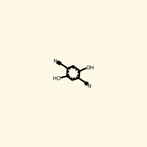 N#Cc1cc(O)c(C#N)cc1O